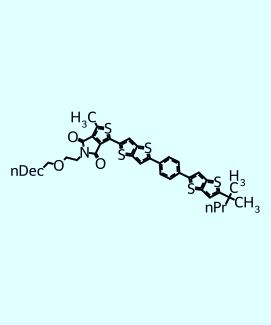 CCCCCCCCCCCOCCN1C(=O)c2c(C)sc(-c3cc4sc(-c5ccc(-c6cc7sc(C(C)(C)CCC)cc7s6)cc5)cc4s3)c2C1=O